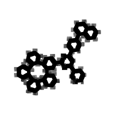 c1cncc(-c2cc(-c3ccc(-c4cccc5ccccc45)cc3)nc(-c3ccc4c5ccccc5c5ccccc5c5ccccc5c5ccccc5c4c3)n2)c1